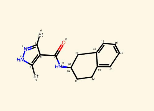 CCc1n[nH]c(CC)c1C(=O)N[C@@H]1CCc2ccccc2C1